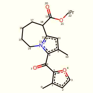 Cc1ccoc1C(=O)c1c(C)cc2n1CCCCC2C(=O)OC(C)C